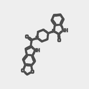 O=C(c1cc2cc3c(cc2[nH]1)OCO3)N1CCC(n2c(=O)[nH]c3ccccc32)CC1